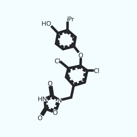 CC(C)c1cc(Oc2c(Cl)cc(Cn3oc(=O)[nH]c3=O)cc2Cl)ccc1O